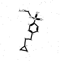 CC(=O)OCOS(=O)(=O)c1ccc(CCC2CC2)cc1